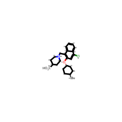 CC(C)(C)[C@H]1CC[C@H](Oc2cc(Cl)c3ccccc3c2CN2CCC(C(=O)O)CC2)CC1